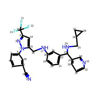 N#Cc1cccc(-n2nc(C(F)(F)F)cc2CNc2cccc(C(NCC3CC3)c3cccnc3)c2)c1